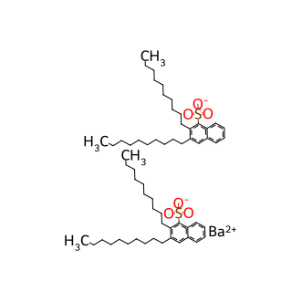 CCCCCCCCCCc1cc2ccccc2c(S(=O)(=O)[O-])c1CCCCCCCCCC.CCCCCCCCCCc1cc2ccccc2c(S(=O)(=O)[O-])c1CCCCCCCCCC.[Ba+2]